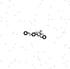 O=C(CBr)N(Cc1ccccc1)C[C@H](O)c1ccc(OCc2ccccc2)cc1